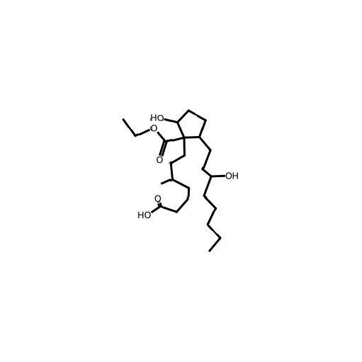 CCCCCC(O)CCC1CCC(O)C1(CCC(C)CCCC(=O)O)C(=O)OCC